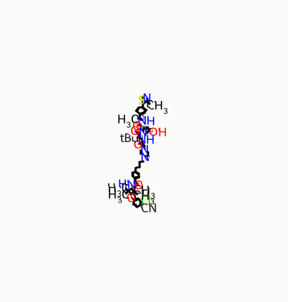 Cc1ncsc1-c1ccc([C@H](C)NC(=O)[C@@H]2C[C@@H](O)CN2C(=O)[C@@H](NC(=O)CN2CCN(CCCCc3ccc(C(=O)N[C@H]4C(C)(C)[C@H](Oc5ccc(C#N)c(Cl)c5)C4(C)C)cc3)CC2)C(C)(C)C)cc1